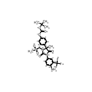 CC(C)(C)OC(=O)Oc1ccc(C2(C)C(=O)N(c3ccc(N)c(C(F)(F)F)c3)C(=O)N2CS(C)(=O)=O)cc1